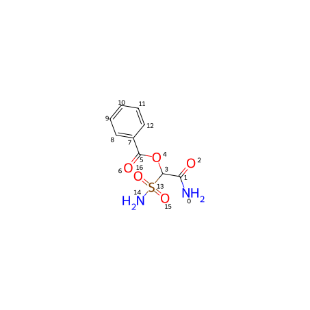 NC(=O)C(OC(=O)c1ccccc1)S(N)(=O)=O